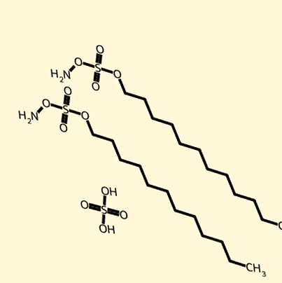 CCCCCCCCCCCCOS(=O)(=O)ON.CCCCCCCCCCCCOS(=O)(=O)ON.O=S(=O)(O)O